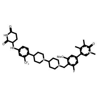 COc1cc(-c2cn(C)c(=O)c(C)c2C)cc(F)c1CN1CCC(N2CCC(c3ccc(NC4CCC(=O)NC4=O)cc3C(F)(F)F)CC2)CC1